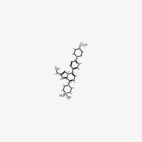 O=C(O)N1CCN(c2ccc(-c3cnc(N4CCS(O)(O)CC4)c4nc(CO)cn34)cn2)CC1